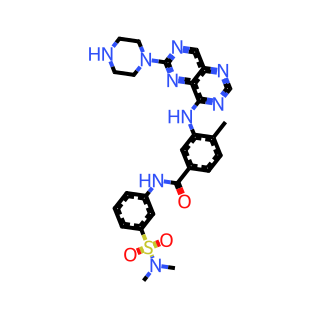 Cc1ccc(C(=O)Nc2cccc(S(=O)(=O)N(C)C)c2)cc1Nc1ncnc2cnc(N3CCNCC3)nc12